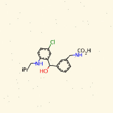 CC(C)CNc1ccc(Cl)cc1C(O)c1cccc(CNC(=O)O)c1